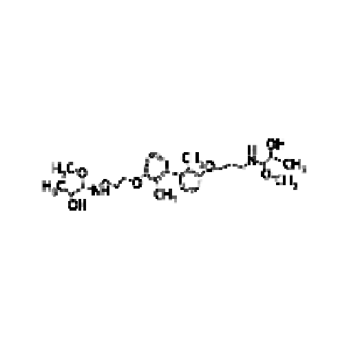 COC(NCCCOc1cccc(-c2cccc(OCCCNC(OC)C(C)O)c2C)c1C)C(C)O